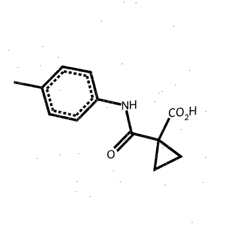 Cc1ccc(NC(=O)C2(C(=O)O)CC2)cc1